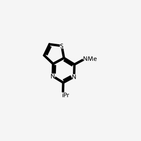 CNc1nc(C(C)C)nc2ccsc12